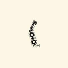 CC(C)(c1ccc(O)cc1)c1ccc(OCCOCC2CO2)cc1